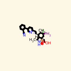 C[C@H]1NS(=O)(=O)[C@]2(CC(=O)O)CC(F)(P)[C@@H](C)[C@H](/C=C/c3ccc(-c4ccccc4C#N)cn3)[C@H]12